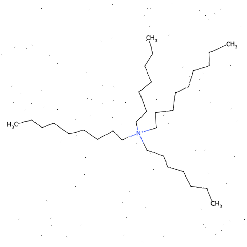 CCCCCCCCC[N+](CCCCCCC)(CCCCCCC)CCCCCCCCC